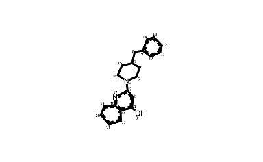 Oc1cc(N2CCC(Cc3ccccc3)CC2)nc2ccccc12